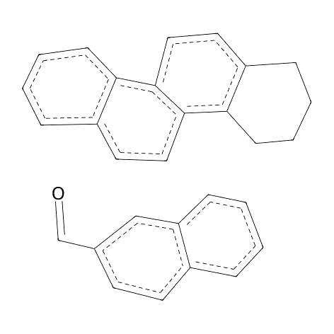 O=Cc1ccc2ccccc2c1.c1ccc2c(c1)ccc1c3c(ccc12)CCCC3